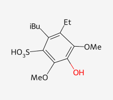 CCc1c(OC)c(O)c(OC)c(S(=O)(=O)O)c1C(C)CC